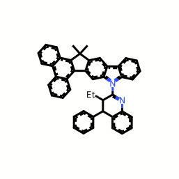 CCC1C(n2c3ccccc3c3cc4c(cc32)-c2c(c3ccccc3c3ccccc23)C4(C)C)=Nc2ccccc2C1c1ccccc1